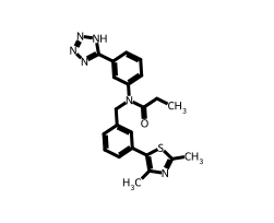 CCC(=O)N(Cc1cccc(-c2sc(C)nc2C)c1)c1cccc(-c2nnn[nH]2)c1